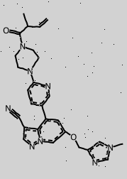 C=CC(C)C(=O)N1CCN(c2ccc(-c3cc(OCc4cn(C)cn4)cn4ncc(C#N)c34)cn2)CC1